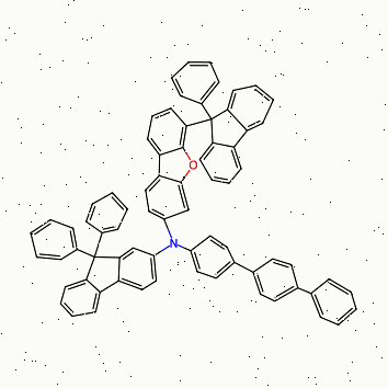 c1ccc(-c2ccc(-c3ccc(N(c4ccc5c(c4)C(c4ccccc4)(c4ccccc4)c4ccccc4-5)c4ccc5c(c4)oc4c(C6(c7ccccc7)c7ccccc7-c7ccccc76)cccc45)cc3)cc2)cc1